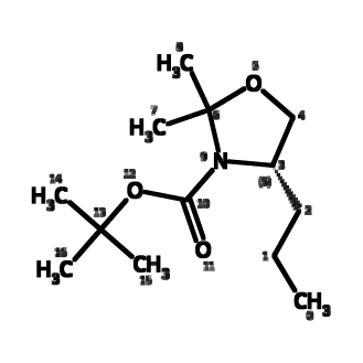 CCC[C@H]1COC(C)(C)N1C(=O)OC(C)(C)C